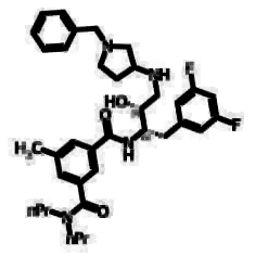 CCCN(CCC)C(=O)c1cc(C)cc(C(=O)N[C@@H](Cc2cc(F)cc(F)c2)[C@H](O)CNC2CCN(Cc3ccccc3)C2)c1